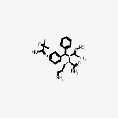 NCCC[C@@H](C(N)=O)N(C(N)=N[N+](=O)[O-])C(c1ccccc1)c1ccccc1.O=C(O)C(F)(F)F